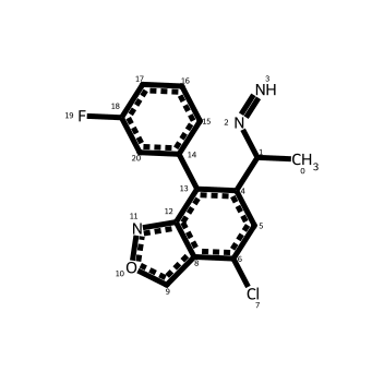 CC(N=N)c1cc(Cl)c2conc2c1-c1cccc(F)c1